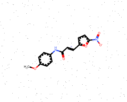 COc1ccc(NC(=O)/C=C/c2ccc([N+](=O)[O-])o2)cc1